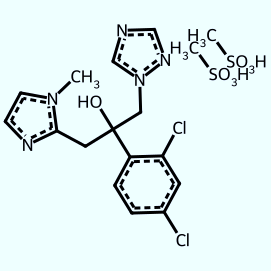 CS(=O)(=O)O.CS(=O)(=O)O.Cn1ccnc1CC(O)(Cn1cncn1)c1ccc(Cl)cc1Cl